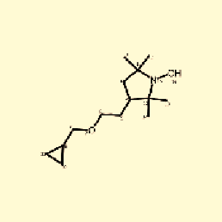 CC1(C)CC(CCOCC2CC2)C(C)(C)N1O